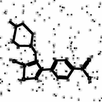 CC1CCN(Cc2c(-c3ccc([N+](=O)[O-])cc3)no[n+]2[O-])CC1